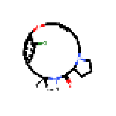 O=C1N[C@H](C(=O)O)Cc2ccc(c(Cl)c2)OCC=CCCN2CCCC12